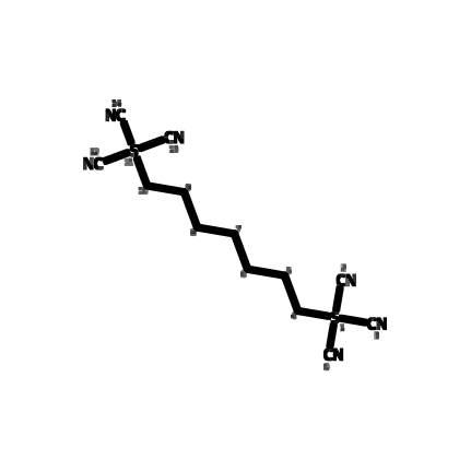 N#CS(C#N)(C#N)CCCCCCCS(C#N)(C#N)C#N